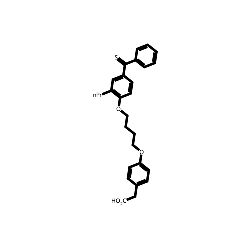 CCCc1cc(C(=S)c2ccccc2)ccc1OCCCCOc1ccc(CC(=O)O)cc1